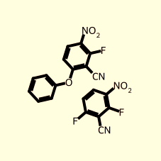 N#Cc1c(F)ccc([N+](=O)[O-])c1F.N#Cc1c(Oc2ccccc2)ccc([N+](=O)[O-])c1F